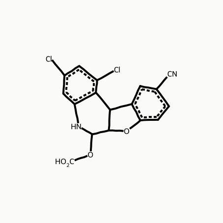 N#Cc1ccc2c(c1)C1c3c(Cl)cc(Cl)cc3NC(OC(=O)O)C1O2